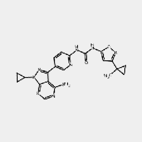 CC1(c2cc(NC(=O)Nc3ccc(-c4nn(C5CC5)c5ncnc(N)c45)cn3)on2)CC1